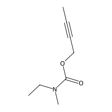 CC#CCOC(=O)N(C)CC